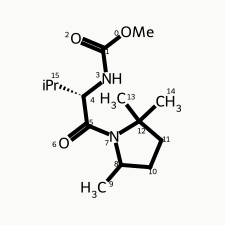 COC(=O)N[C@H](C(=O)N1C(C)CCC1(C)C)C(C)C